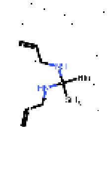 C=CCNC([SiH3])(NCC=C)C(C)(C)C